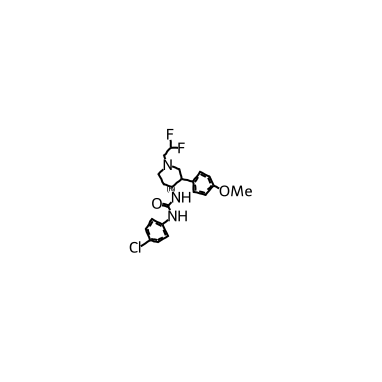 COc1ccc(C2CN(CC(F)F)CC[C@H]2NC(=O)Nc2ccc(Cl)cc2)cc1